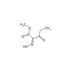 CCC(=O)/C(=N/O)C(=O)OC